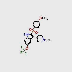 COc1ccc(S(=O)(=O)c2[nH]c3ccc(OC(F)(F)F)cc3c2C2=CCN(C)CC2)cc1